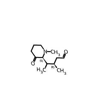 CC([C@H](C)CC=O)[C@H]1C(=O)CCCN1C